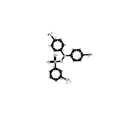 CC(C)c1ccc([I+](OS(=O)(=O)c2cccc(C(F)(F)F)c2)c2ccc(C(C)C)cc2)cc1